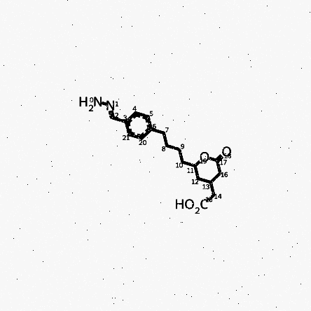 NN=Cc1ccc(CCCCC2CC(CC(=O)O)CC(=O)O2)cc1